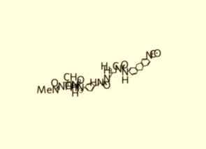 CNC(=O)NCC(C)(C)CNC(=O)Nc1ccc(CNC(=O)NCCCN(C)C(=O)Nc2ccc3c(c2)Cc2cc(N=C=O)ccc2C3)cc1